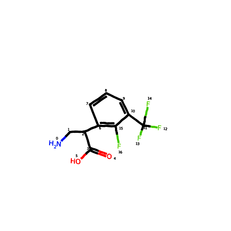 NCC(C(=O)O)c1cccc(C(F)(F)F)c1F